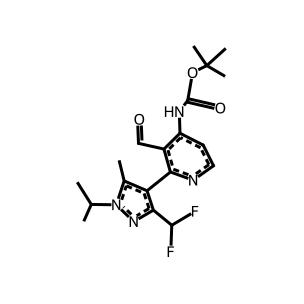 Cc1c(-c2nccc(NC(=O)OC(C)(C)C)c2C=O)c(C(F)F)nn1C(C)C